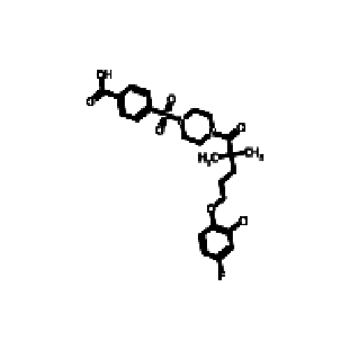 CC(C)(CCCOc1ccc(F)cc1Cl)C(=O)N1CCN(S(=O)(=O)c2ccc(C(=O)O)cc2)CC1